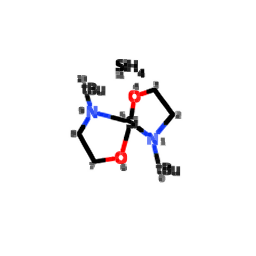 CC(C)(C)N1CCO[Si]12OCCN2C(C)(C)C.[SiH4]